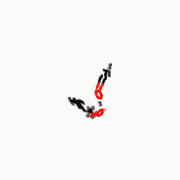 [CaH+].[OH-].[O]=[Ti]